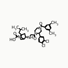 Cc1cc(C)cc(C(=O)N2CCN(C(=O)CNC3CC4(CC(C)C)CC3CN4C(=O)O)C(c3ccc(Cl)c(Cl)c3)C2)c1